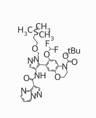 CC(C)(C)OC(=O)N1CCOc2cc(-c3c(NC(=O)c4cnn5cccnc45)cnn3COCCS(C)(C)C)c(OC(F)F)cc21